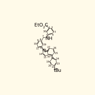 CCOC(=O)c1cccc(NCc2cccc(-n3ccc4c(-c5ccc(C(C)(C)C)cc5)cccc43)c2)c1